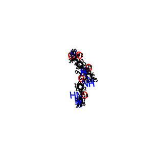 CCn1c2c(C(=O)Nc3cccc(C(=O)Nc4ccn(C)n4)c3)nc(C)cc2c(=O)n1-c1ccc(-c2c(C)on(C)c2=O)cc1